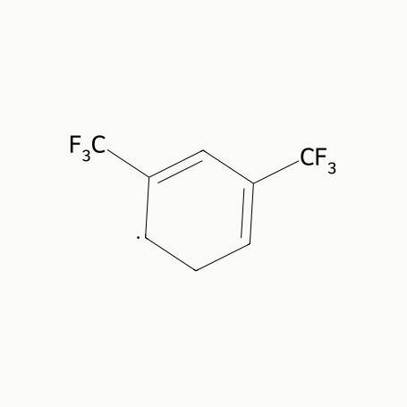 FC(F)(F)C1=CC(C(F)(F)F)=CC[CH]1